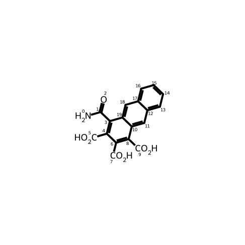 NC(=O)c1c(C(=O)O)c(C(=O)O)c(C(=O)O)c2cc3ccccc3cc12